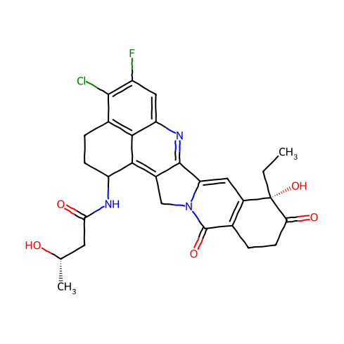 CC[C@@]1(O)C(=O)CCc2c1cc1n(c2=O)Cc2c-1nc1cc(F)c(Cl)c3c1c2C(NC(=O)C[C@H](C)O)CC3